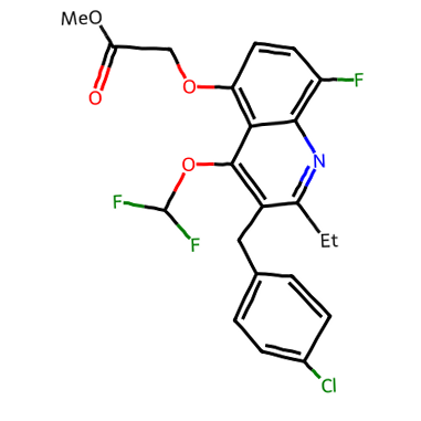 CCc1nc2c(F)ccc(OCC(=O)OC)c2c(OC(F)F)c1Cc1ccc(Cl)cc1